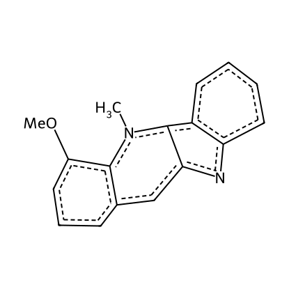 COc1cccc2cc3nc4ccccc4c-3n(C)c12